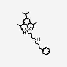 CC(C)c1cc(C(C)C)c(S(=O)(=O)NCCNCCCc2ccccc2)c(C(C)C)c1